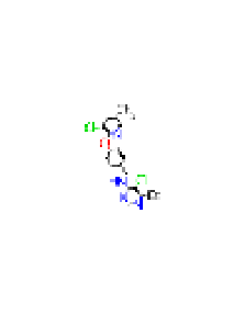 CCc1ncnc(NCc2ccc(Oc3ncc(C(F)(F)F)cc3Cl)cc2)c1Cl